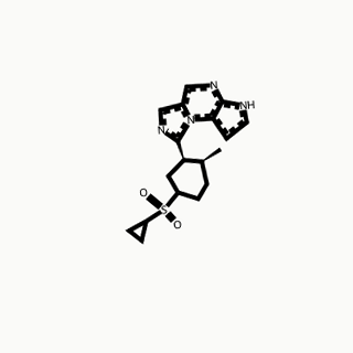 C[C@H]1CCC(S(=O)(=O)C2CC2)C[C@H]1c1ncc2cnc3[nH]ccc3n12